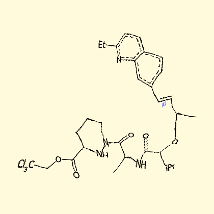 CCc1ccc2ccc(/C=C/C(C)COC(C(=O)NC(C)C(=O)N3CCCC(C(=O)OCC(Cl)(Cl)Cl)N3)C(C)C)cc2n1